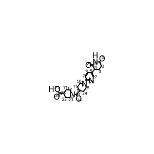 O=C1CCC(c2ccc(N3CCC(C(=O)N4CCC(C(=O)O)CC4)CC3)nc2)C(=O)N1